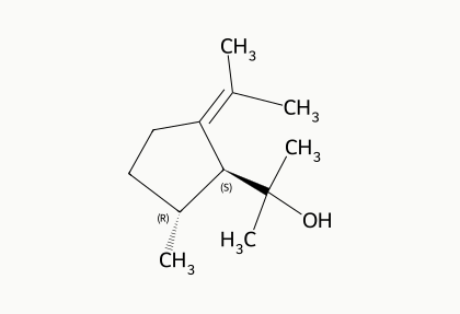 CC(C)=C1CC[C@@H](C)[C@@H]1C(C)(C)O